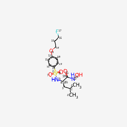 CC(C)C[C@@H](NS(=O)(=O)c1ccc(OCCCF)cc1)C(=O)NO